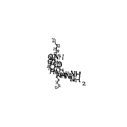 CCCCCNNC(CCCNC(=N)N)C(=O)c1cccc2oc(=O)c(NCCCCC)c(C)c12